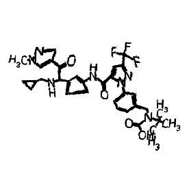 Cn1cc(C(=O)C(NCC2CC2)c2cccc(NC(=O)c3cc(C(F)(F)F)nn3-c3cccc(CN(C(=O)O)C(C)(C)C)c3)c2)cn1